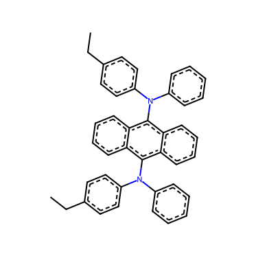 CCc1ccc(N(c2ccccc2)c2c3ccccc3c(N(c3ccccc3)c3ccc(CC)cc3)c3ccccc23)cc1